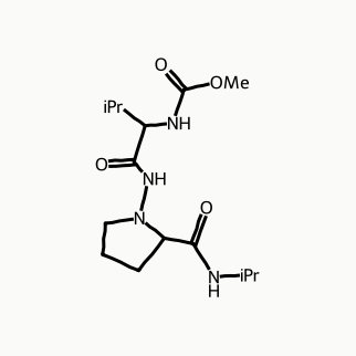 COC(=O)NC(C(=O)NN1CCCC1C(=O)NC(C)C)C(C)C